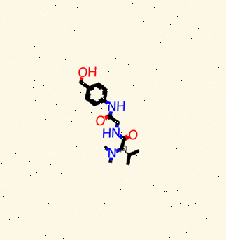 CC(C)[C@@H](C(=O)NCC(=O)Nc1ccc(CO)cc1)N(C)C